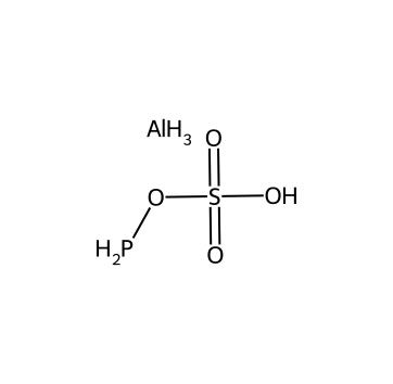 O=S(=O)(O)OP.[AlH3]